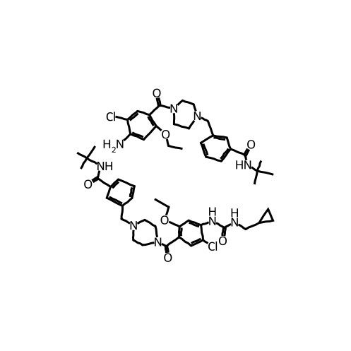 CCOc1cc(N)c(Cl)cc1C(=O)N1CCN(Cc2cccc(C(=O)NC(C)(C)C)c2)CC1.CCOc1cc(NC(=O)NCC2CC2)c(Cl)cc1C(=O)N1CCN(Cc2cccc(C(=O)NC(C)(C)C)c2)CC1